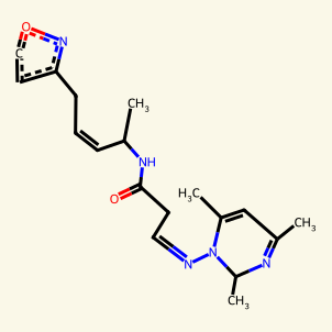 CC1=CC(C)=NC(C)N1/N=C\CC(=O)NC(C)/C=C\Cc1ccon1